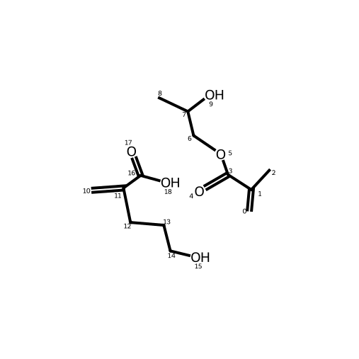 C=C(C)C(=O)OCC(C)O.C=C(CCCO)C(=O)O